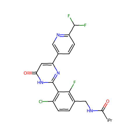 CC(C)C(=O)NCc1ccc(Cl)c(-c2nc(-c3ccc(C(F)F)nc3)cc(=O)[nH]2)c1F